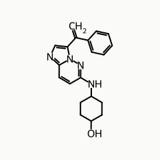 C=C(c1ccccc1)c1cnc2ccc(NC3CCC(O)CC3)nn12